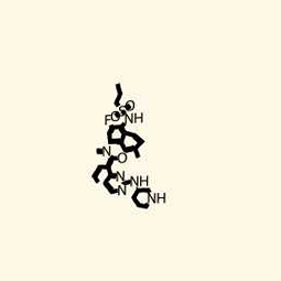 C=N/C(Oc1c(C)ccc2c(NS(=O)(=O)CCC)c(F)ccc12)=C(\C=C/C)c1ccnc(N[C@H]2CCCNC2)n1